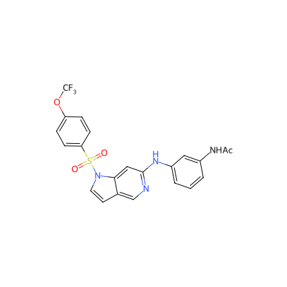 CC(=O)Nc1cccc(Nc2cc3c(ccn3S(=O)(=O)c3ccc(OC(F)(F)F)cc3)cn2)c1